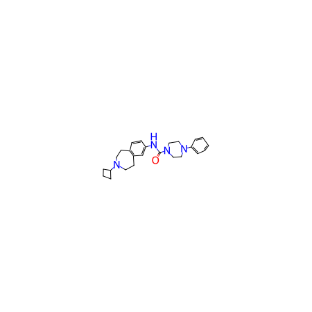 O=C(Nc1ccc2c(c1)CCN(C1CCC1)CC2)N1CCN(c2ccccc2)CC1